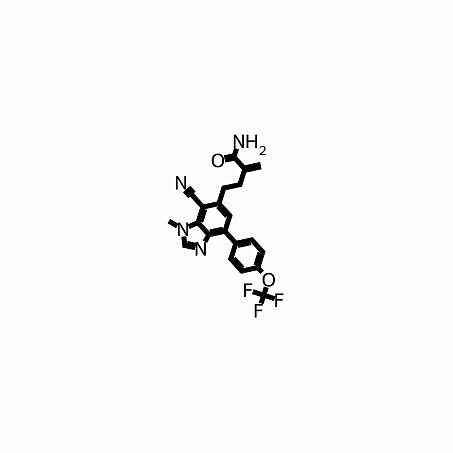 C=C(CCc1cc(-c2ccc(OC(F)(F)F)cc2)c2ncn(C)c2c1C#N)C(N)=O